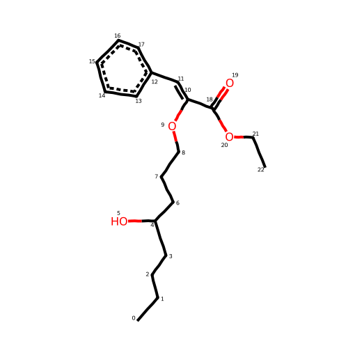 CCCCC(O)CCCOC(=Cc1ccccc1)C(=O)OCC